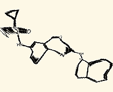 O=S(=O)(Nc1ccc2c(c1)COC(N[C@@H]1CCc3ccccc31)=N2)C1CC1